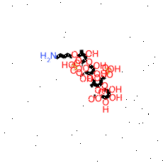 CC1C(O)[C@H](O[C@@H]2O[C@@H](C(=O)O)[C@@H](O[C@H]3OC(COS(=O)(=O)O)[C@@H](O[C@@H]4OC(OC=O)[C@@H](O)[C@@H](O)C4O)[C@H](O)C3C)C(O)C2O)[C@H](COS(=O)(=O)O)O[C@@H]1OCCCCCN